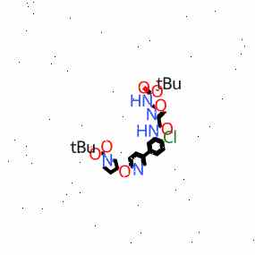 CC(C)(C)OC(=O)Nc1nc(C(=O)Nc2cc(-c3ccc(OC4CCN(C(=O)OC(C)(C)C)C4)nc3)ccc2Cl)co1